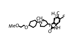 COCCO[C@H]1CC[C@](C)(N2CCC(n3c(=O)[nH]c4cc(F)c(C)cc43)CC2)CC1